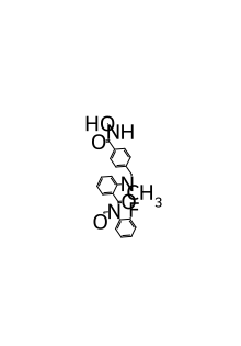 CN(Cc1ccc(C(=O)NO)cc1)c1ccccc1C(=O)N(C=O)c1ccccc1F